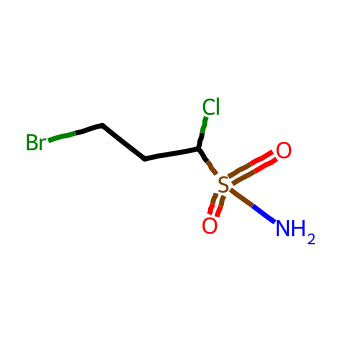 NS(=O)(=O)C(Cl)CCBr